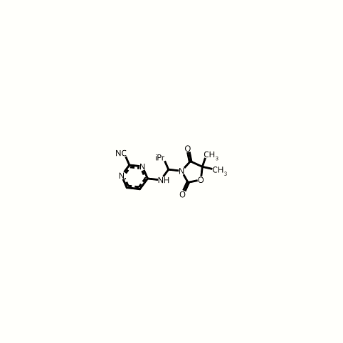 CC(C)C(Nc1ccnc(C#N)n1)N1C(=O)OC(C)(C)C1=O